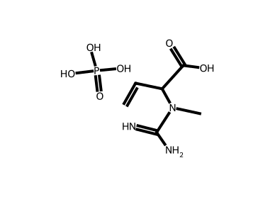 C=CC(C(=O)O)N(C)C(=N)N.O=P(O)(O)O